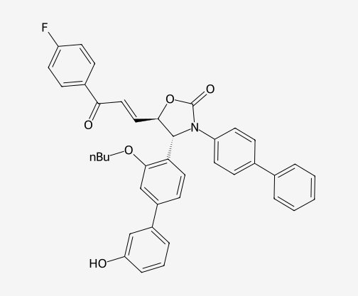 CCCCOc1cc(-c2cccc(O)c2)ccc1[C@@H]1[C@@H](/C=C/C(=O)c2ccc(F)cc2)OC(=O)N1c1ccc(-c2ccccc2)cc1